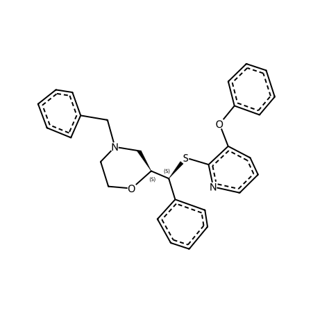 c1ccc(CN2CCO[C@H]([C@@H](Sc3ncccc3Oc3ccccc3)c3ccccc3)C2)cc1